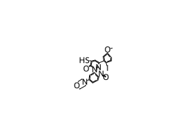 COc1ccc(I)c(-c2cc(S)c(=O)n(-c3cc(N4CCOCC4)ccc3N=O)n2)c1